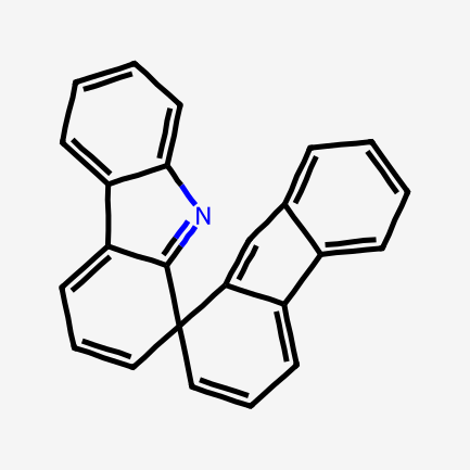 C1=CC2(C=CC=C3C2=Nc2ccccc23)C2=Cc3ccccc3C2=C1